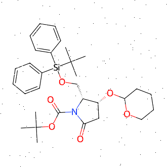 CC(C)(C)OC(=O)N1C(=O)C[C@@H](OC2CCCCO2)[C@H]1CO[Si](c1ccccc1)(c1ccccc1)C(C)(C)C